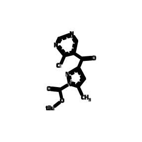 Cc1cc(C(=O)c2cncnc2Cl)nn1C(=O)OC(C)(C)C